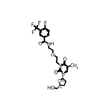 Cc1cn([C@H]2CC[C@@H](CO)O2)c(=O)n(CCOCCNC(=O)c2ccc(F)c(C(F)(F)F)c2)c1=O